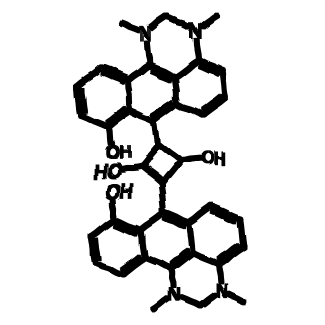 CN1CN(C)c2c3cccc(O)c3c(C3C(O)C(c4c5cccc6c5c(c5cccc(O)c45)N(C)CN6C)C3O)c3cccc1c23